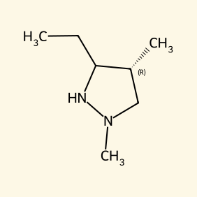 CCC1NN(C)C[C@H]1C